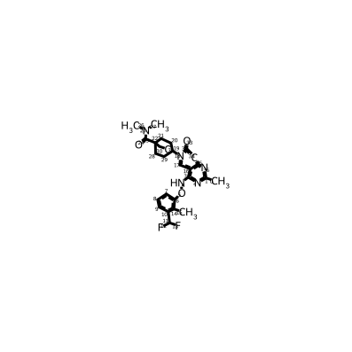 Cc1nc(NOc2cccc(C(F)F)c2C)c2cn(C34CCC(C(=O)N(C)C)(CC3)CC4)c(=O)cc2n1